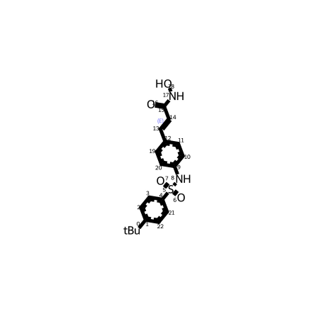 CC(C)(C)c1ccc(S(=O)(=O)Nc2ccc(/C=C/C(=O)NO)cc2)cc1